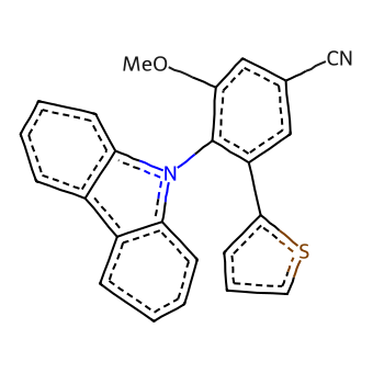 COc1cc(C#N)cc(-c2cccs2)c1-n1c2ccccc2c2ccccc21